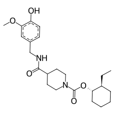 CC[C@H]1CCCC[C@@H]1OC(=O)N1CCC(C(=O)NCc2ccc(O)c(OC)c2)CC1